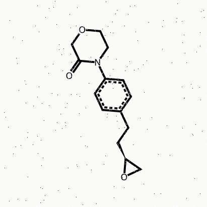 O=C1COCCN1c1ccc(CC[C@H]2CO2)cc1